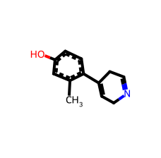 Cc1cc(O)ccc1C1=CCN=CC1